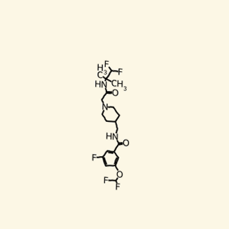 CC(C)(NC(=O)CN1CCC(CNC(=O)c2cc(F)cc(OC(F)F)c2)CC1)C(F)F